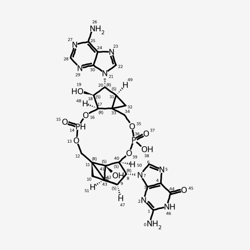 Nc1nc2c(ncn2[C@@H]2[C@H]3C[C@@]45CO[PH](=O)O[C@H]6[C@@H](O)[C@H](n7cnc8c(N)ncnc87)[C@H]7CC76COP(=O)(O)O[C@@H]2[C@]4(O)[C@@H]35)c(=O)[nH]1